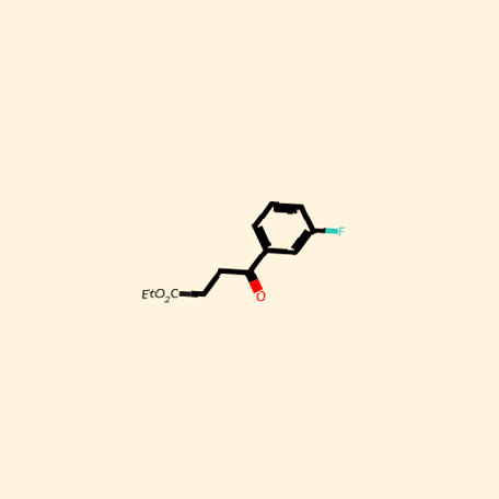 CCOC(=O)CCC(=O)c1cccc(F)c1